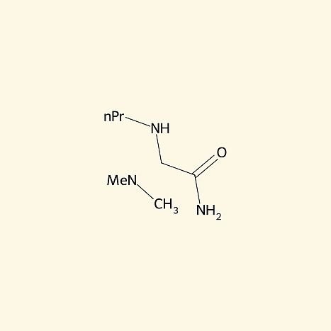 CCCNCC(N)=O.CNC